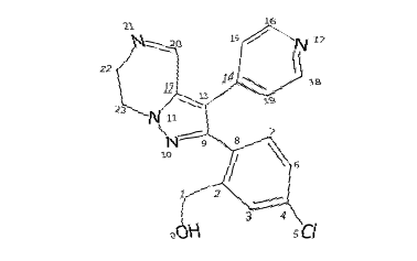 OCc1cc(Cl)ccc1-c1nn2c(c1-c1ccncc1)C=NCC2